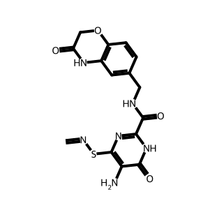 C=NSc1nc(C(=O)NCc2ccc3c(c2)NC(=O)CO3)[nH]c(=O)c1N